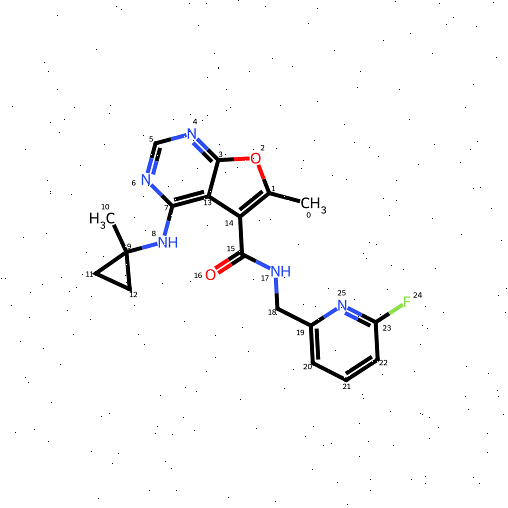 Cc1oc2ncnc(NC3(C)CC3)c2c1C(=O)NCc1cccc(F)n1